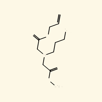 C=CCOC(=O)CN(CCCN)CC(=O)OCCCCCCCCC